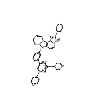 C1=CC2C3=C(C=CC4NC(c5ccccc5)OC34)N(c3cccc(-c4cc(-c5ccncc5)nc(C5C=CN=CC5)n4)c3)C2CC1